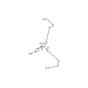 C=C(CC(CC(=O)OCCCCCCCC/C=C\C/C=C\CCCCC)NC(=O)CN1CCN(CCO)CC1)OCCCCCCCC/C=C\C/C=C\CCCCC